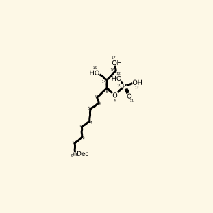 CCCCCCCCCCCCCCCCCC(OP(=O)(O)O)C(O)CO